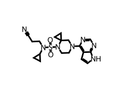 N#CCCN(C1CC1)S(=O)(=O)N1CCN(c2ncnc3[nH]ccc23)CC12CC2